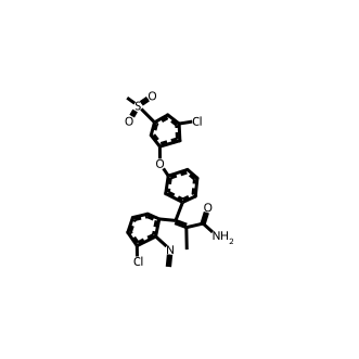 C=Nc1c(Cl)cccc1/C(=C(\C)C(N)=O)c1cccc(Oc2cc(Cl)cc(S(C)(=O)=O)c2)c1